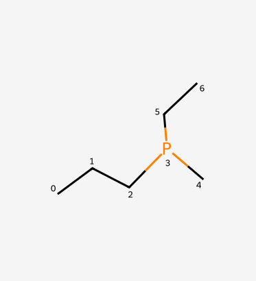 CCCP(C)CC